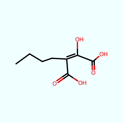 CCCCC(C(=O)O)=C(O)C(=O)O